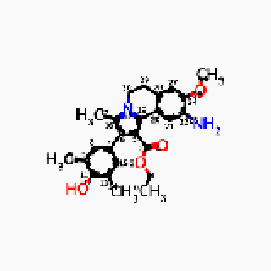 CCOC(=O)c1c(-c2cc(C)c(O)c(C)c2)c(C)n2c1-c1cc(N)c(OC)cc1CC2